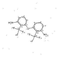 Nc1cccc(Oc2cccc(N)c2C(F)(F)F)c1C(F)(F)F